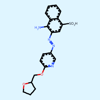 Nc1c(N=Nc2ccc(OCC3CCCO3)nc2)cc(S(=O)(=O)O)c2ccccc12